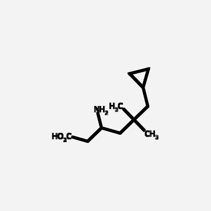 CC(C)(CC(N)CC(=O)O)CC1CC1